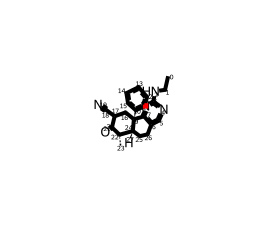 CCNc1ncc2c(n1)[C@]1(c3ccccc3)CC(C#N)C(=O)[C@@H](C)[C@@H]1CC2